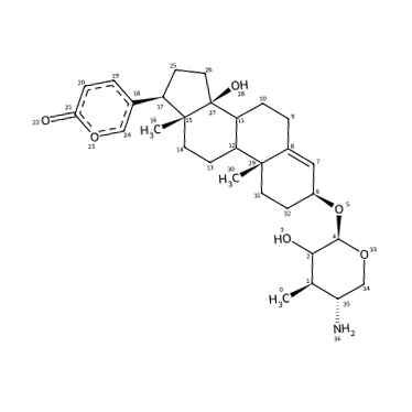 C[C@H]1C(O)[C@@H](O[C@@H]2C=C3CCC4C(CC[C@]5(C)[C@@H](c6ccc(=O)oc6)CC[C@]45O)[C@@]3(C)CC2)OC[C@@H]1N